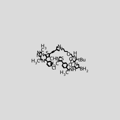 BC1C[C@@H](C(=O)N[C@@H](C)c2ccc(-c3scnc3C)cc2)N(C(=O)[C@@H](NC(=O)COCCCn2cc(C#Cc3sc4c(c3C)C(c3ccc(Cl)cc3)=N[C@@H](C)c3nnc(C)n3-4)cn2)C(C)(C)C)C1